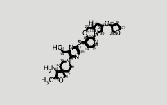 C[C@@H]1OCC2(CCN(c3ncc(Sc4ccnc5c4OC[C@@H]4C[C@H](OC6CCOC6)CN54)nc3CO)CC2)[C@@H]1N